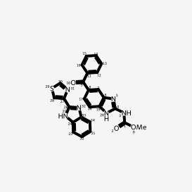 COC(=O)Nc1nc2cc(C(=O)c3ccccc3)ccc2[nH]1.c1ccc2[nH]c(-c3cscn3)nc2c1